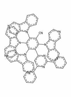 N#Cc1c(-n2c3ccccc3c3cnccc32)c(-c2cc(-c3ccccc3)nc(-c3ccccc3)n2)c(-n2c3ccccc3c3cnccc32)c(-n2c3ccccc3c3cnccc32)c1-n1c2ccccc2c2cnccc21